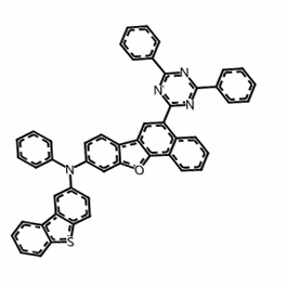 c1ccc(-c2nc(-c3ccccc3)nc(-c3cc4c5ccc(N(c6ccccc6)c6ccc7sc8ccccc8c7c6)cc5oc4c4ccccc34)n2)cc1